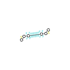 Fc1c(F)c(C(F)(F)C(F)(F)C(F)(F)C(F)(F)C(F)(F)C(F)(F)c2c(F)c(F)c(-c3ccc4sc5ccccc5c4c3)c(F)c2F)c(F)c(F)c1-c1ccc2sc3ccccc3c2c1